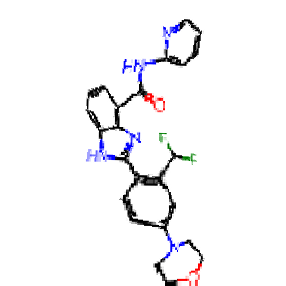 O=C(Nc1ccccn1)c1cccc2[nH]c(-c3ccc(N4CCOCC4)cc3C(F)F)nc12